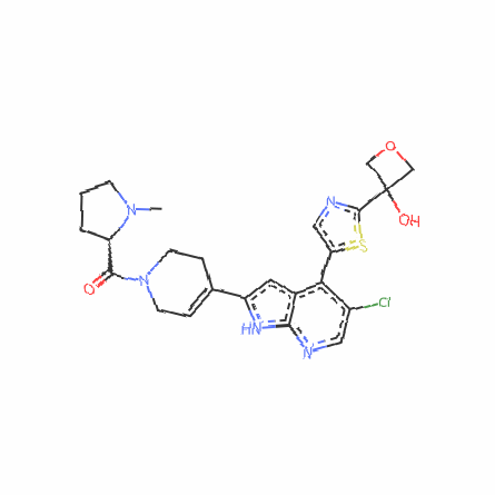 CN1CCC[C@@H]1C(=O)N1CC=C(c2cc3c(-c4cnc(C5(O)COC5)s4)c(Cl)cnc3[nH]2)CC1